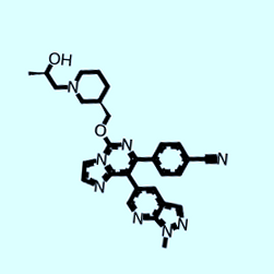 C[C@@H](O)CN1CCC[C@@H](COc2nc(-c3ccc(C#N)cc3)c(-c3cnc4c(cnn4C)c3)c3nccn23)C1